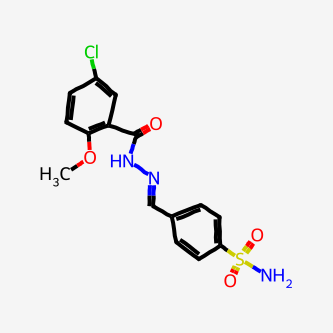 COc1ccc(Cl)cc1C(=O)NN=Cc1ccc(S(N)(=O)=O)cc1